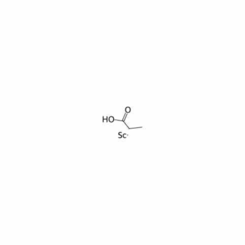 CCC(=O)O.[Sc]